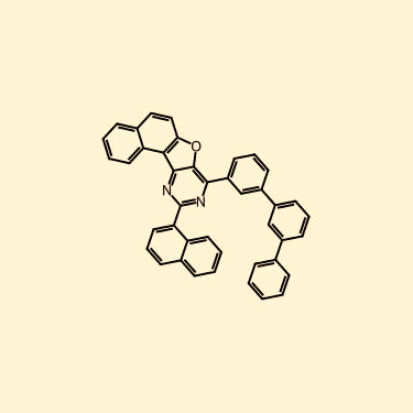 c1ccc(-c2cccc(-c3cccc(-c4nc(-c5cccc6ccccc56)nc5c4oc4ccc6ccccc6c45)c3)c2)cc1